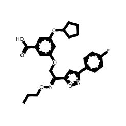 CCCO/N=C(\COc1cc(OC2CCCC2)cc(C(=O)O)c1)c1cc(-c2ccc(F)cc2)no1